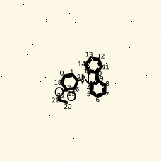 C1=C[C@@H](n2c3ccccc3c3ccccc32)CC2(C1)OCCO2